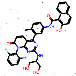 Cc1ccc(NC(=O)c2c(O)ccc3ccccc23)cc1-c1nc(NC(CO)CO)nc2c1ccc(=O)n2-c1c(F)cccc1F